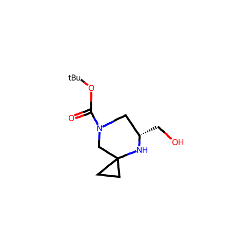 CC(C)(C)OC(=O)N1C[C@H](CO)NC2(CC2)C1